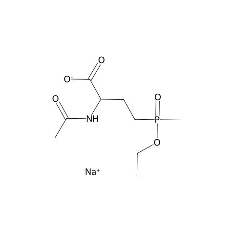 CCOP(C)(=O)CCC(NC(C)=O)C(=O)[O-].[Na+]